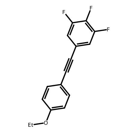 CCOc1ccc(C#Cc2cc(F)c(F)c(F)c2)cc1